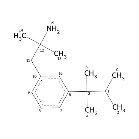 CC(C)C(C)(C)c1cccc(CC(C)(C)N)c1